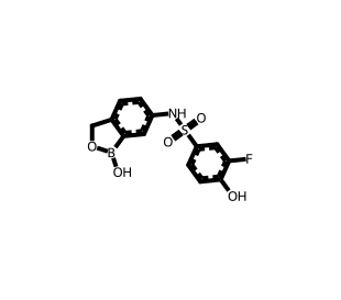 O=S(=O)(Nc1ccc2c(c1)B(O)OC2)c1ccc(O)c(F)c1